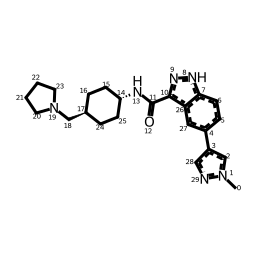 Cn1cc(-c2ccc3[nH]nc(C(=O)N[C@H]4CC[C@H](CN5CCCC5)CC4)c3c2)cn1